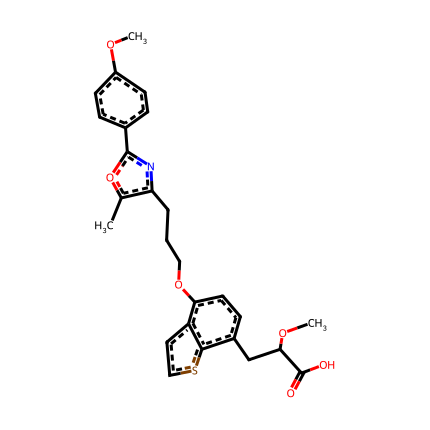 COc1ccc(-c2nc(CCCOc3ccc(CC(OC)C(=O)O)c4sccc34)c(C)o2)cc1